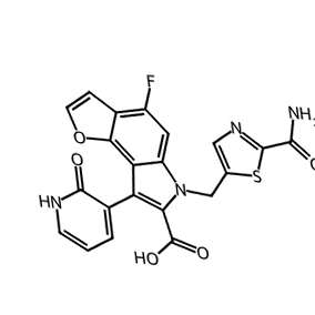 NC(=O)c1ncc(Cn2c(C(=O)O)c(-c3ccc[nH]c3=O)c3c4occc4c(F)cc32)s1